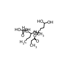 CCC(=O)OC.CCCC(O)O.CCCC(O)O.O=[PH](O)O